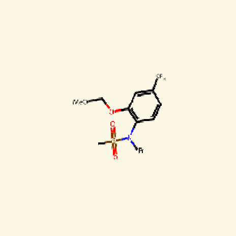 COCOc1cc(C(F)(F)F)ccc1N(C(C)C)S(C)(=O)=O